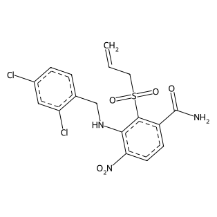 C=CCS(=O)(=O)c1c(C(N)=O)ccc([N+](=O)[O-])c1NCc1ccc(Cl)cc1Cl